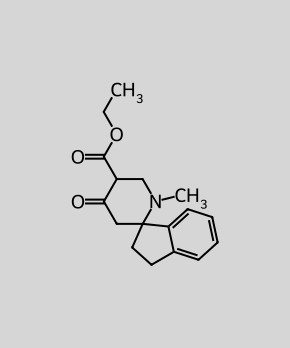 CCOC(=O)C1CN(C)C2(CCc3ccccc32)CC1=O